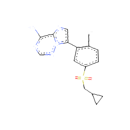 Cc1ccc(S(=O)(=O)CC2CC2)cc1-c1cnc2c(N)ncnn12